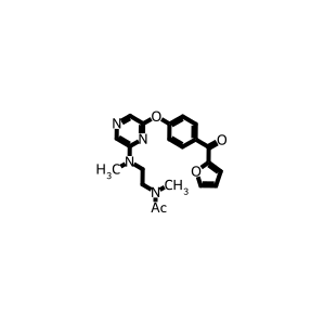 CC(=O)N(C)CCN(C)c1cncc(Oc2ccc(C(=O)c3ccco3)cc2)n1